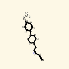 C=C/C=C\CC1CCC(c2ccc(OC(F)(F)F)cc2)CC1